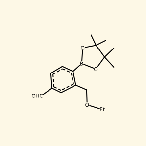 CCOCc1cc(C=O)ccc1B1OC(C)(C)C(C)(C)O1